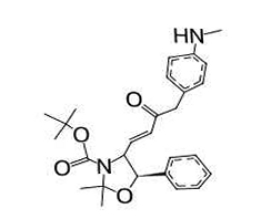 CNc1ccc(CC(=O)/C=C/C2[C@@H](c3ccccc3)OC(C)(C)N2C(=O)OC(C)(C)C)cc1